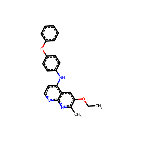 CCOc1cc2c(Nc3ccc(Oc4ccccc4)cc3)ccnc2nc1C